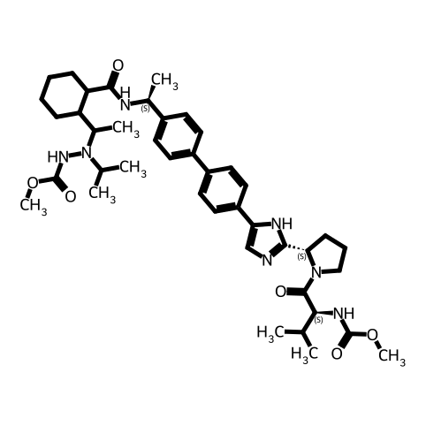 COC(=O)N[C@H](C(=O)N1CCC[C@H]1c1ncc(-c2ccc(-c3ccc([C@H](C)NC(=O)C4CCCCC4C(C)N(NC(=O)OC)C(C)C)cc3)cc2)[nH]1)C(C)C